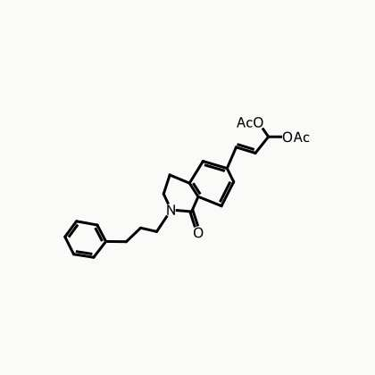 CC(=O)OC(C=Cc1ccc2c(c1)CCN(CCCc1ccccc1)C2=O)OC(C)=O